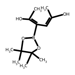 C/C(O)=C\C(B1OC(C)(C)C(C)(C)O1)=C(/C)O